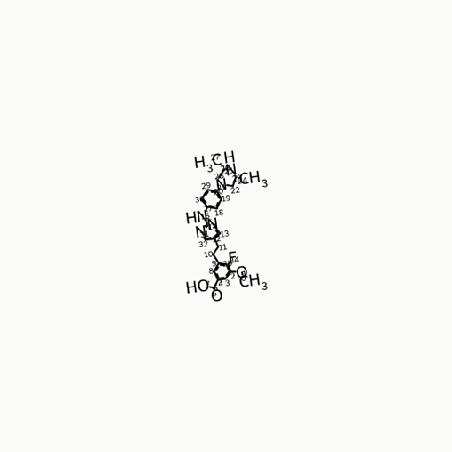 COc1cc(C(=O)O)cc(CCc2cnc(Nc3ccc(N4C[C@@H](C)N[C@@H](C)C4)cc3)nc2)c1F